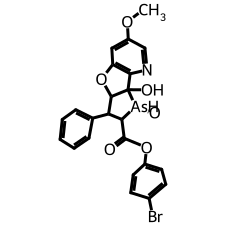 COc1cnc2c(c1)OC1C(c3ccccc3)C(C(=O)Oc3ccc(Br)cc3)[AsH](=O)C21O